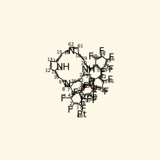 Fc1c(F)c(F)c(C2=Cc3cc4ccc(cc5nc(cc6[nH]c(c(-c7c(F)c(F)c(F)c(F)c7F)c2n3)c(-c2c(F)c(F)c(F)c(F)c2F)c6-c2c(F)c(F)c(F)c(F)c2F)C=C5)[nH]4)c(F)c1F.[Pt]